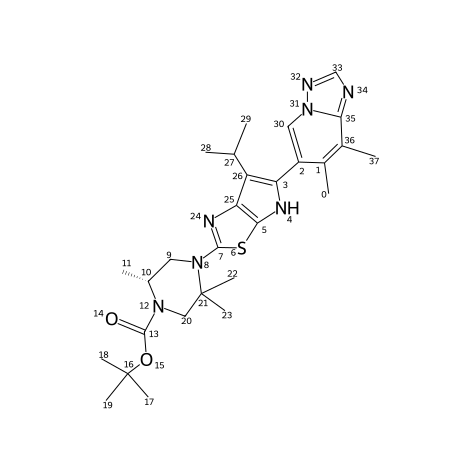 Cc1c(-c2[nH]c3sc(N4C[C@@H](C)N(C(=O)OC(C)(C)C)CC4(C)C)nc3c2C(C)C)cn2ncnc2c1C